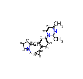 CC1=NC(C)N(c2ccc([C@H]3C[C@@H]3CN3CCC[C@H]3C)cc2)C=C1